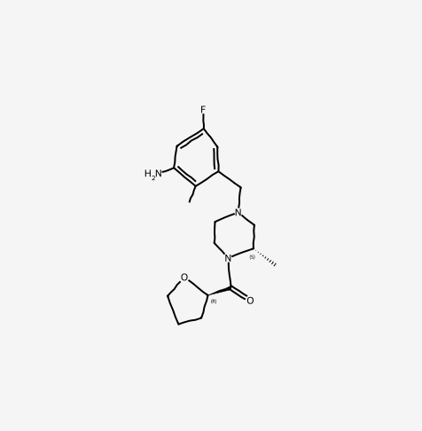 Cc1c(N)cc(F)cc1CN1CCN(C(=O)[C@H]2CCCO2)[C@@H](C)C1